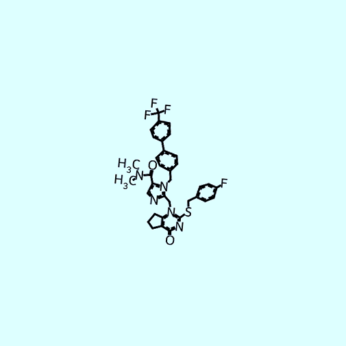 CN(C)C(=O)c1cnc(Cn2c(SCc3ccc(F)cc3)nc(=O)c3c2CCC3)n1Cc1ccc(-c2ccc(C(F)(F)F)cc2)cc1